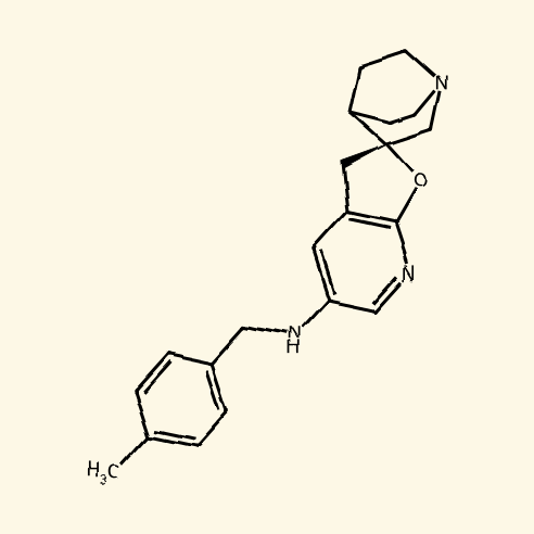 Cc1ccc(CNc2cnc3c(c2)C[C@@]2(CN4CCC2CC4)O3)cc1